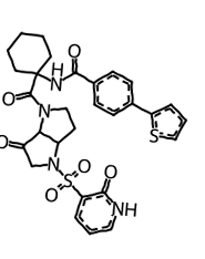 O=C(NC1(C(=O)N2CCC3C2C(=O)CN3S(=O)(=O)c2ccc[nH]c2=O)CCCCC1)c1ccc(-c2cccs2)cc1